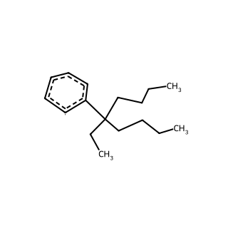 CCCCC(CC)(CCCC)c1[c]cccc1